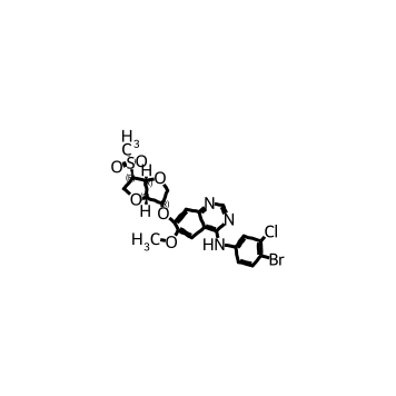 COc1cc2c(Nc3ccc(Br)c(Cl)c3)ncnc2cc1O[C@@H]1CO[C@@H]2[C@H]1OC[C@H]2S(C)(=O)=O